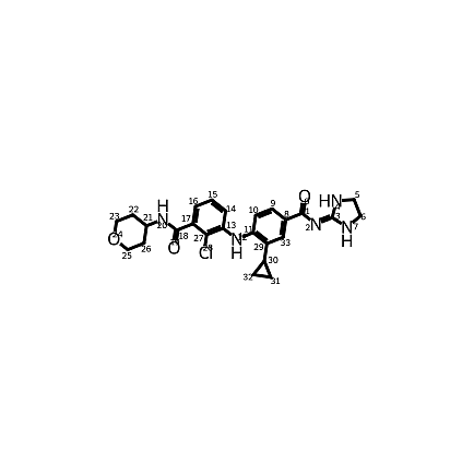 O=C(N=C1NCCN1)c1ccc(Nc2cccc(C(=O)NC3CCOCC3)c2Cl)c(C2CC2)c1